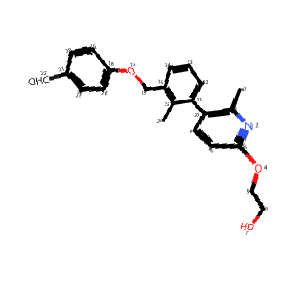 Cc1nc(OCCO)ccc1-c1cccc(COc2ccc(C=O)cc2)c1C